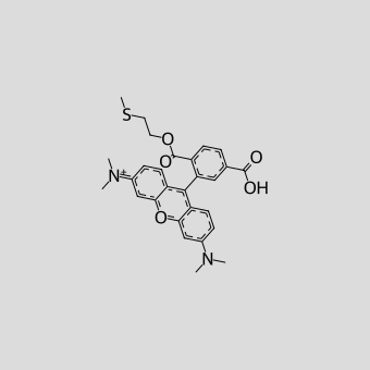 CSCCOC(=O)c1ccc(C(=O)O)cc1-c1c2ccc(=[N+](C)C)cc-2oc2cc(N(C)C)ccc12